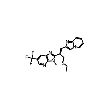 CCSC/C(=C\c1cn2ccccc2n1)c1nc2cc(C(F)(F)F)cnc2n1C